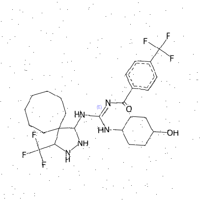 O=C(/N=C(\NC1CCC(O)CC1)NC1NNC(C(F)(F)F)C12CCCCCCC2)c1ccc(C(F)(F)F)cc1